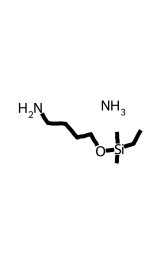 CC[Si](C)(C)OCCCCN.N